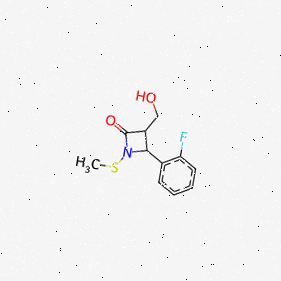 CSN1C(=O)C(CO)C1c1ccccc1F